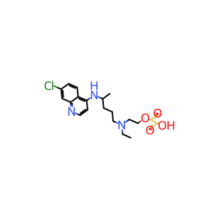 CCN(CCCC(C)Nc1ccnc2cc(Cl)ccc12)CCOS(=O)(=O)O